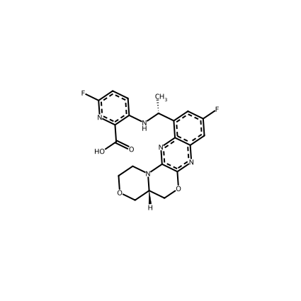 C[C@@H](Nc1ccc(F)nc1C(=O)O)c1cc(F)cc2nc3c(nc12)N1CCOC[C@H]1CO3